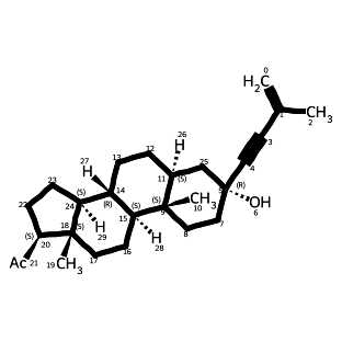 C=C(C)C#C[C@@]1(O)CC[C@@]2(C)[C@@H](CC[C@@H]3[C@@H]2CC[C@]2(C)[C@@H](C(C)=O)CC[C@@H]32)C1